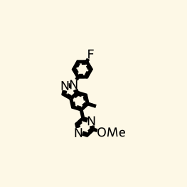 COc1cncc(-c2cc3cnn(-c4ccc(F)cc4)c3cc2C)n1